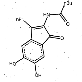 CCCCC(=O)NC1=C(CCC)c2cc(O)c(O)cc2C1=O